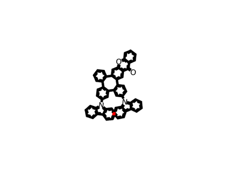 O=c1c2ccccc2oc2cc3c(cc12)-c1ccc(-n2c4ccccc4c4ccccc42)cc1-c1cc(-n2c4ccccc4c4ccccc42)ccc1-c1ccccc1-3